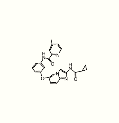 Cc1ccnc(C(=O)Nc2cccc(Oc3ccc4nc(NC(=O)C5CC5)cn4c3)c2)c1